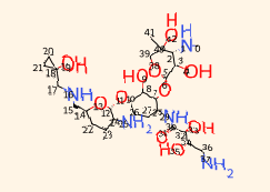 CN[C@@H]1C(O)[C@@H](OC2C(O)C(O[C@H]3O[C@H](CNCC4(O)CC4)CCC3N)CC[C@H]2NC(=O)[C@@H](O)[C@@H](O)CN)OCC1(C)O